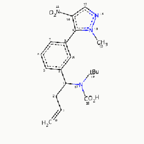 C=CCC(c1cccc(-c2c([N+](=O)[O-])cnn2C)c1)N(C(=O)O)C(C)(C)C